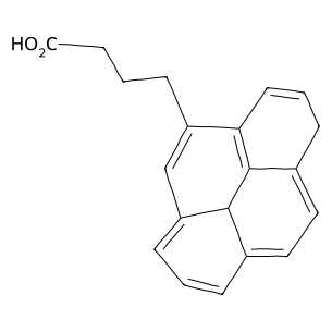 O=C(O)CCCC1=CC2=CC=CC3=CC=C4CC=CC1=C4C32